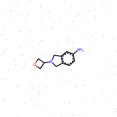 Nc1ccc2c(c1)CN(C1COC1)C2